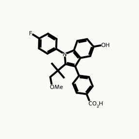 COCC(C)(C)c1c(-c2ccc(C(=O)O)cc2)c2cc(O)ccc2n1-c1ccc(F)cc1